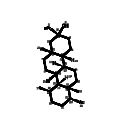 CCC[C@@]1(O)CC[C@H]2[C@H](CC[C@@H]3[C@@H]2CC[C@@]2(C)[C@H]3[C@H](C)CC[C@@H]2C(C)=O)C1